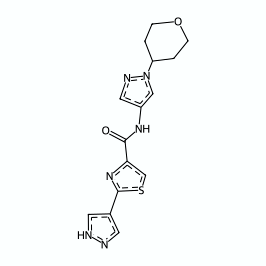 O=C(Nc1cnn(C2CCOCC2)c1)c1csc(-c2cn[nH]c2)n1